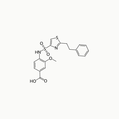 COc1cc(C(=O)O)ccc1NS(=O)(=O)c1csc(CCc2ccccc2)n1